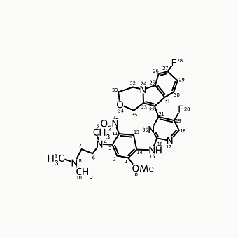 COc1cc(N(C)CCN(C)C)c([N+](=O)[O-])cc1Nc1ncc(F)c(-c2c3n(c4cc(F)ccc24)CCOC3)n1